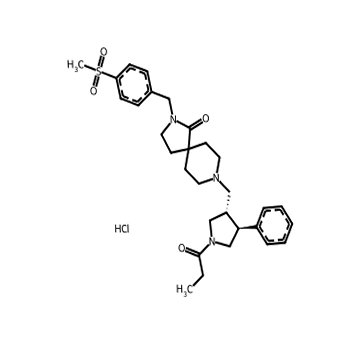 CCC(=O)N1C[C@H](CN2CCC3(CC2)CCN(Cc2ccc(S(C)(=O)=O)cc2)C3=O)[C@@H](c2ccccc2)C1.Cl